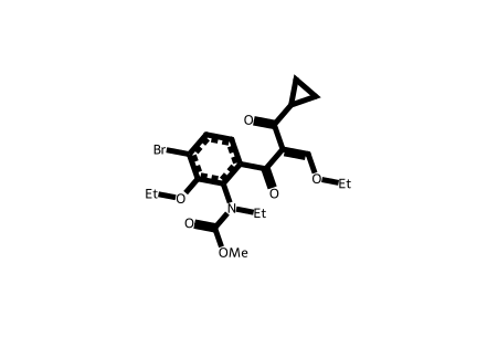 CCO/C=C(\C(=O)c1ccc(Br)c(OCC)c1N(CC)C(=O)OC)C(=O)C1CC1